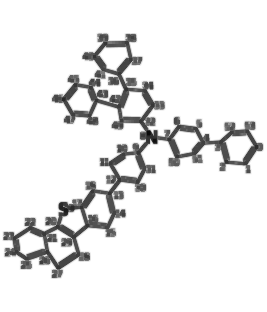 c1ccc(-c2ccc(N(c3ccc(-c4ccc5c(c4)sc4c6ccccc6ccc54)cc3)c3ccc(-c4ccccc4)c(-c4ccccc4)c3)cc2)cc1